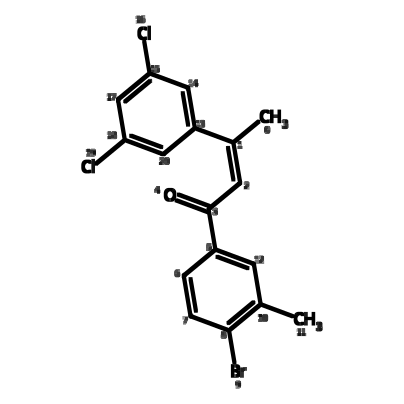 C/C(=C/C(=O)c1ccc(Br)c(C)c1)c1cc(Cl)cc(Cl)c1